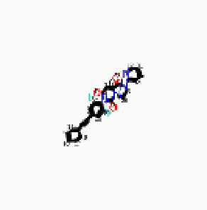 CC12CC(=O)N(c3c(F)cc(C#Cc4ccccc4)cc3F)C(=O)N1CCN(c1ccccn1)C2=O